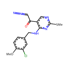 COc1ccc(CNc2nc(SC)ncc2C(=O)C=[N+]=[N-])cc1Cl